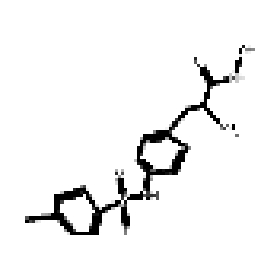 Cc1ccc(S(=O)(=O)Nc2ccc(CC(N)C(=O)NO)cc2)cc1